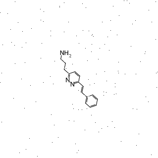 NCCCc1ccc(C=Cc2ccccc2)nn1